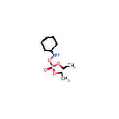 CCOP(=O)(OCC)ONC1CCCCC1